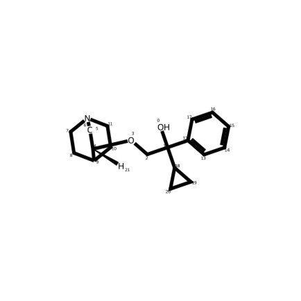 OC(CO[C@H]1CN2CCC1CC2)(c1ccccc1)C1CC1